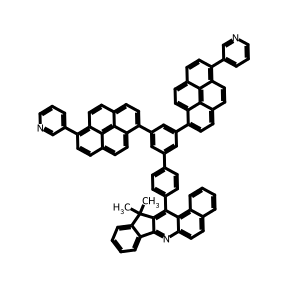 CC1(C)c2ccccc2-c2nc3ccc4ccccc4c3c(-c3ccc(-c4cc(-c5ccc6ccc7c(-c8cccnc8)ccc8ccc5c6c87)cc(-c5ccc6ccc7c(-c8cccnc8)ccc8ccc5c6c87)c4)cc3)c21